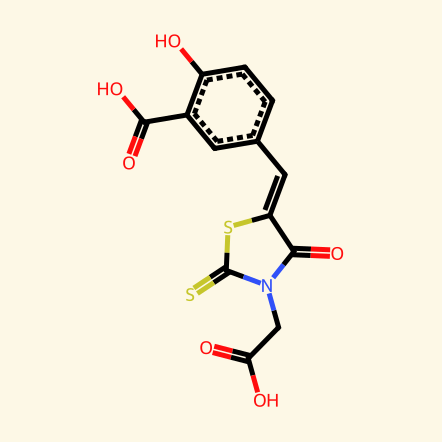 O=C(O)CN1C(=O)C(=Cc2ccc(O)c(C(=O)O)c2)SC1=S